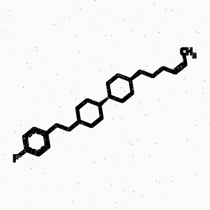 C/C=C\CCC[C@H]1CC[C@H](C2CCC(CCc3ccc(F)cc3)CC2)CC1